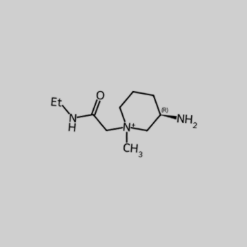 CCNC(=O)C[N+]1(C)CCC[C@@H](N)C1